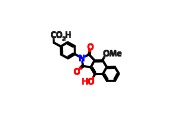 COc1c2c(c(O)c3ccccc13)C(=O)N(c1ccc(CC(=O)O)cc1)C2=O